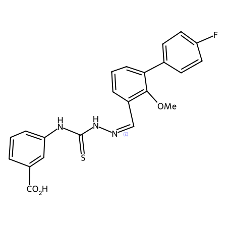 COc1c(/C=N\NC(=S)Nc2cccc(C(=O)O)c2)cccc1-c1ccc(F)cc1